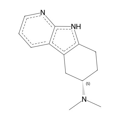 CN(C)[C@H]1CCc2[nH]c3ncccc3c2C1